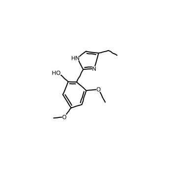 CCc1c[nH]c(-c2c(O)cc(OC)cc2OC)n1